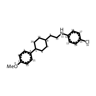 COc1ccc(C2CCC(CCNc3ccc(Cl)cc3)CC2)cc1